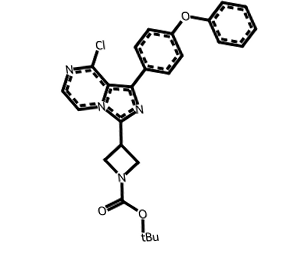 CC(C)(C)OC(=O)N1CC(c2nc(-c3ccc(Oc4ccccc4)cc3)c3c(Cl)nccn23)C1